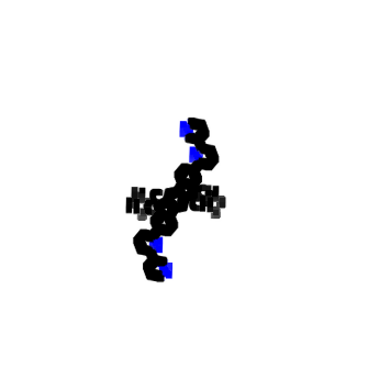 CC1(C)c2cc(-c3cccc(-c4cccnc4)n3)ccc2-c2cc3c(cc21)-c1ccc(-c2cccc(-c4cccnc4)n2)cc1C3(C)C